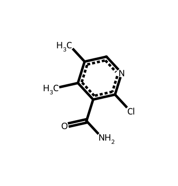 Cc1cnc(Cl)c(C(N)=O)c1C